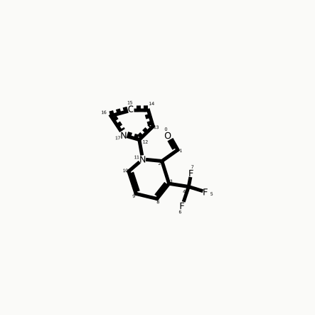 O=CC1C(C(F)(F)F)=CC=CN1c1ccccn1